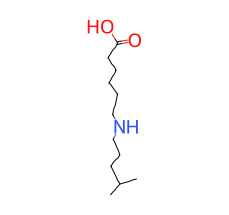 CC(C)CCCNCCCCCC(=O)O